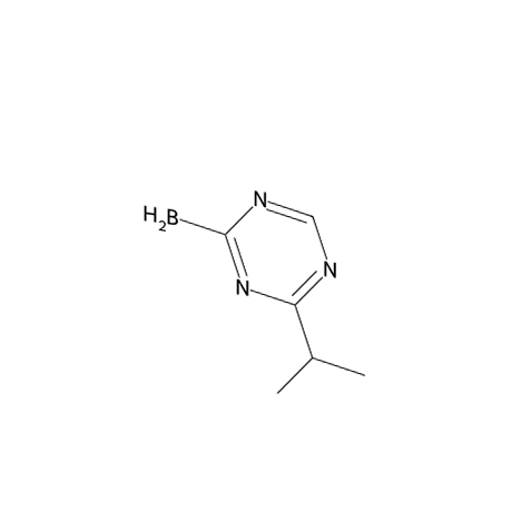 Bc1ncnc(C(C)C)n1